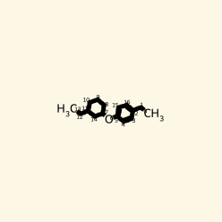 CCc1ccc(OC2CCCC(CC)C2)cc1